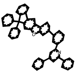 c1ccc(-c2cc(-c3ccccc3)nc(-c3cccc(-c4ccc5c(c4)oc4cc6c(cc45)-c4ccccc4C6(c4ccccc4)c4ccccc4)c3)c2)cc1